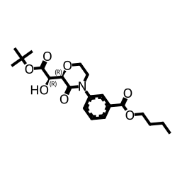 CCCCOC(=O)c1cccc(N2CCO[C@H]([C@@H](O)C(=O)OC(C)(C)C)C2=O)c1